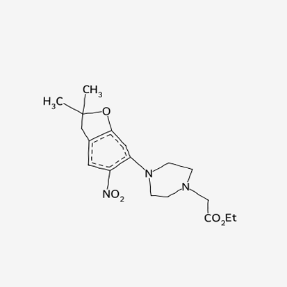 CCOC(=O)CN1CCN(c2cc3c(cc2[N+](=O)[O-])CC(C)(C)O3)CC1